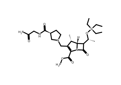 CC[Si](CC)(CC)O[C@H](C)C1C(=O)N2C(C(=O)OP)=C(CN3CC[C@H](C(=O)NCC(N)=O)C3)[C@H](C)[C@H]12